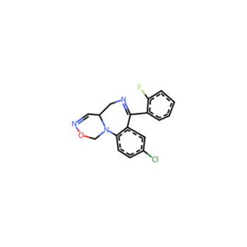 Fc1ccccc1C1=NCC2C=NOCN2c2ccc(Cl)cc21